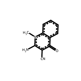 Cn1c(N)c(C#N)c(=O)c2ccccc21